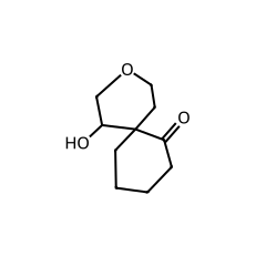 O=C1CCCCC12CCOCC2O